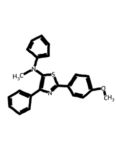 COc1ccc(-c2nc(-c3ccccc3)c(N(C)c3ccccc3)s2)cc1